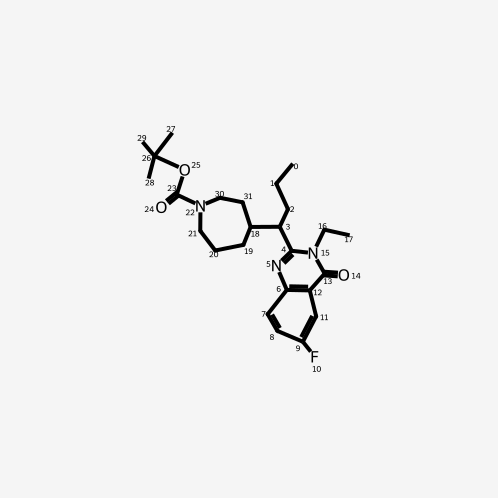 CCCC(c1nc2ccc(F)cc2c(=O)n1CC)C1CCCN(C(=O)OC(C)(C)C)CC1